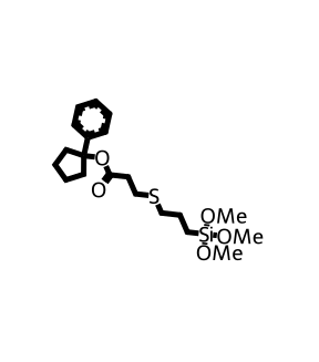 CO[Si](CCCSCCC(=O)OC1(c2ccccc2)CCCC1)(OC)OC